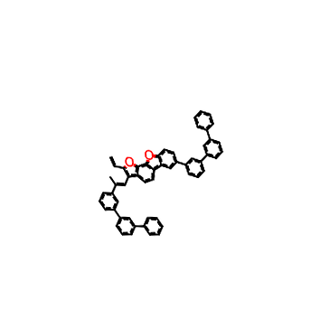 C=Cc1oc2c(ccc3c4cc(-c5cccc(-c6cccc(-c7ccccc7)c6)c5)ccc4oc32)c1/C=C(\C)c1cccc(-c2cccc(-c3ccccc3)c2)c1